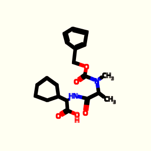 CC(C(=O)N[C@H](C(=O)O)C1CCCCC1)N(C)C(=O)OCc1ccccc1